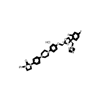 CC(C)N1CCN(c2ccc(N3CCN(c4ccc(OC[C@H]5OC[C@](Cn6cncn6)(c6ccc(F)cc6F)O5)cc4)CC3)cc2)C1=O.Cl